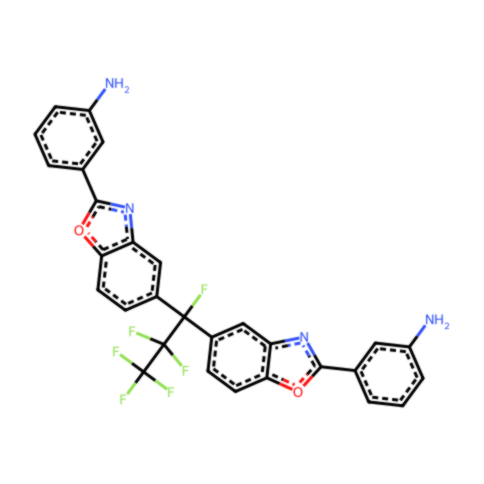 Nc1cccc(-c2nc3cc(C(F)(c4ccc5oc(-c6cccc(N)c6)nc5c4)C(F)(F)C(F)(F)F)ccc3o2)c1